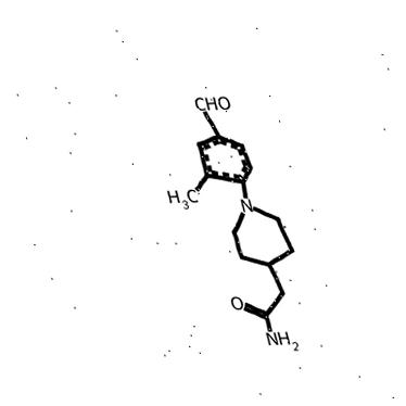 Cc1cc(C=O)ccc1N1CCC(CC(N)=O)CC1